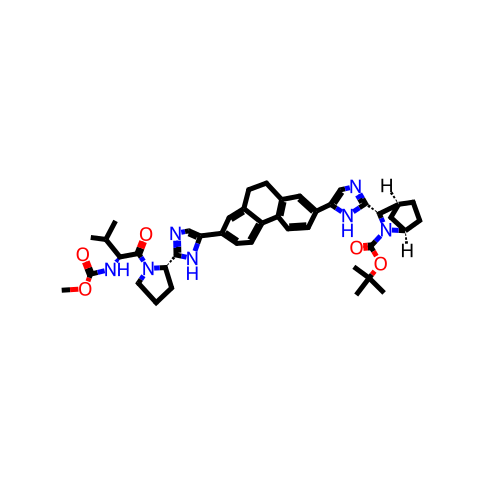 COC(=O)N[C@H](C(=O)N1CCC[C@H]1c1ncc(-c2ccc3c(c2)CCc2cc(-c4cnc([C@@H]5[C@H]6CC[C@H](C6)N5C(=O)OC(C)(C)C)[nH]4)ccc2-3)[nH]1)C(C)C